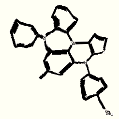 Cc1cc2c3c(c1)N(c1ccc(C(C)(C)C)cc1)c1sccc1B3c1ccccc1N2c1ccccc1